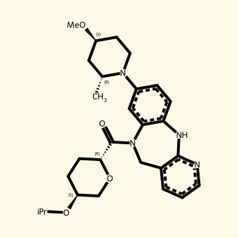 CO[C@H]1CCN(c2ccc3c(c2)N(C(=O)[C@H]2CC[C@H](OC(C)C)CO2)Cc2cccnc2N3)[C@H](C)C1